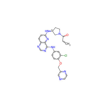 C=CC(=O)N1CC[C@H](Nc2ccc3ncnc(Nc4ccc(OCc5cnccn5)c(Cl)c4)c3n2)C1